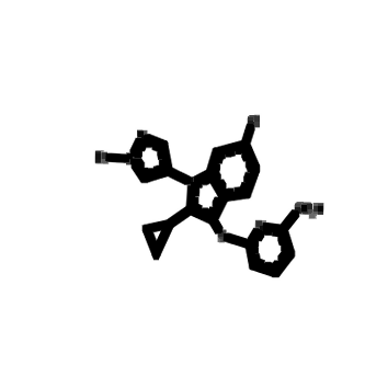 CCn1cc(-n2c(C3CC3)c(Sc3cccc(C(=O)O)n3)c3ccc(Cl)cc32)cn1